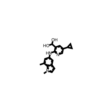 Cc1cc(Nc2ncc(C3CC3)cc2C(O)O)cc2ccn(C)c12